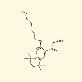 C=C(CO)c1cc2c(cc1OCCCCCCC)C(C)(C)CCC2(C)C